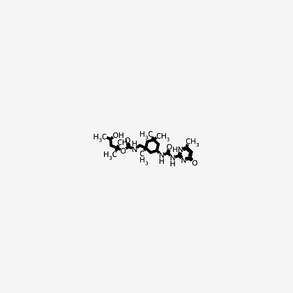 Cc1cc(=O)nc(NC(=O)NC2CC(C)(C)CC(C)(CNC(=O)OC(C)(C)CC(C)O)C2)[nH]1